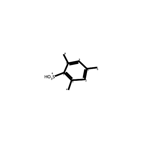 Cc1[c]c(C)c(S(=O)(=O)O)c(C)[c]1